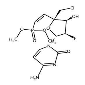 COP(=O)(/C=C\[C@@]1(CCl)O[C@@H](n2ccc(N)nc2=O)[C@H](F)[C@@H]1O)OC